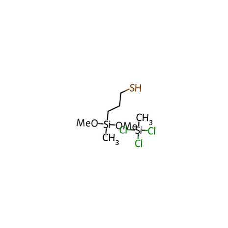 CO[Si](C)(CCCS)OC.C[Si](Cl)(Cl)Cl